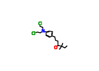 CCC(C)(C)C(=O)CCCc1ccc(N(CCCl)CCCl)cc1